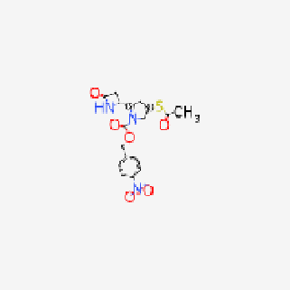 CC(=O)S[C@H]1C[C@@H](C2CC(=O)N2)N(C(=O)OCc2ccc([N+](=O)[O-])cc2)C1